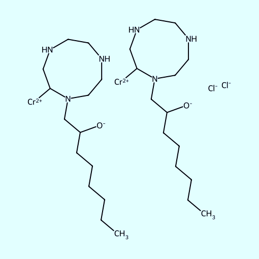 CCCCCCC([O-])CN1CCNCCNC[CH]1[Cr+2].CCCCCCC([O-])CN1CCNCCNC[CH]1[Cr+2].[Cl-].[Cl-]